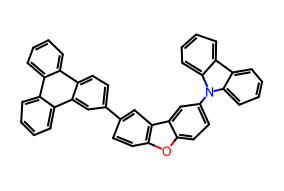 c1ccc2c(c1)c1ccccc1c1cc(-c3ccc4oc5ccc(-n6c7ccccc7c7ccccc76)cc5c4c3)ccc21